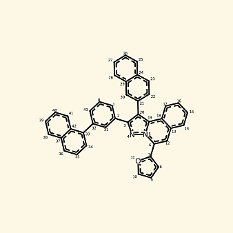 c1cc(-c2nn3c(-c4ccco4)cc4ccccc4c3c2-c2ccc3ccccc3c2)cc(-c2cccc3ccccc23)c1